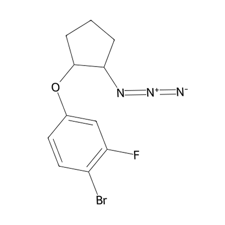 [N-]=[N+]=NC1CCCC1Oc1ccc(Br)c(F)c1